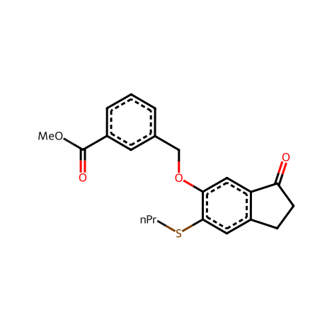 CCCSc1cc2c(cc1OCc1cccc(C(=O)OC)c1)C(=O)CC2